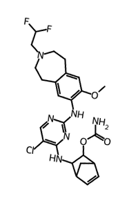 COc1cc2c(cc1Nc1ncc(Cl)c(NC3C4C=CC(C4)C3OC(N)=O)n1)CCN(CC(F)F)CC2